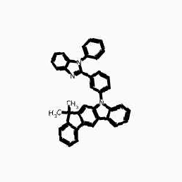 CC1(C)c2ccccc2-c2cc3c4ccccc4n(-c4cccc(-c5nc6ccccc6n5-c5ccccc5)c4)c3cc21